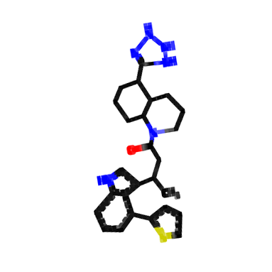 CC(CC(=O)N1CCCC2C(C3=NNNN3)CCCC21)c1c[nH]c2cccc(-c3cccs3)c12